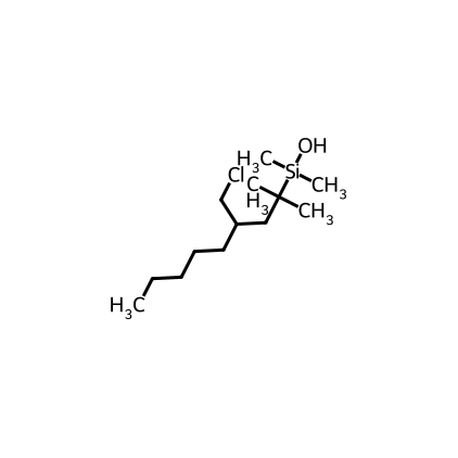 CCCCCC(CCl)CC(C)(C)[Si](C)(C)O